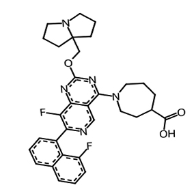 O=C(O)C1CCCN(c2nc(OCC34CCCN3CCC4)nc3c(F)c(-c4cccc5cccc(F)c45)ncc23)CC1